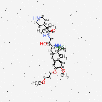 COCCCOc1cc(CC(CC(N)C(O)CNC(=O)C(C)(C)C2CCNCC2)C(C)C)ccc1OC.Cl.Cl